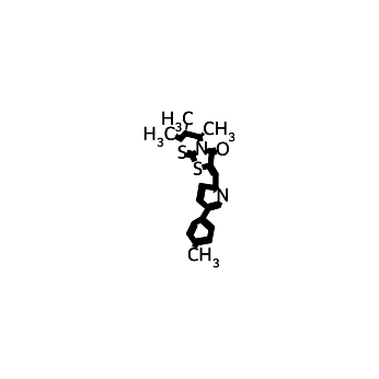 CC[C@H](C)[C@@H](C)N1C(=O)/C(=C/c2ccc(-c3ccc(C)cc3)cn2)SC1=S